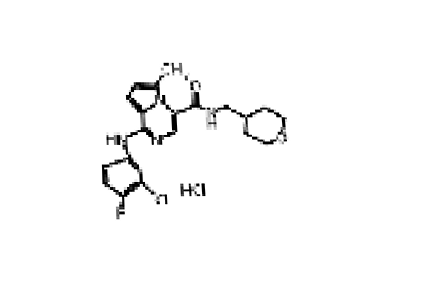 Cc1ccc2c(Nc3ccc(F)c(Cl)c3)ncc(C(=O)NCC3CCOCC3)n12.Cl